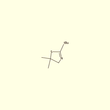 CC1(C)CN=C(C(C)(C)C)S1